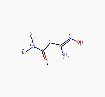 CCN(C)C(=O)C/C(N)=N/O